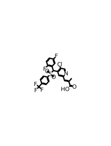 C/C(=C\c1cc(C(c2cc(F)ccc2F)S(=O)(=O)c2ccc(C(F)(F)F)cc2)c(Cl)cn1)C(=O)O